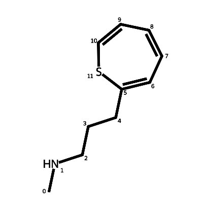 CNCCCC1=CC=CC=CS1